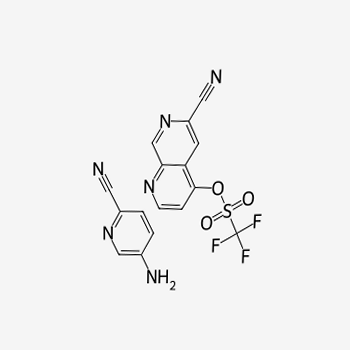 N#Cc1cc2c(OS(=O)(=O)C(F)(F)F)ccnc2cn1.N#Cc1ccc(N)cn1